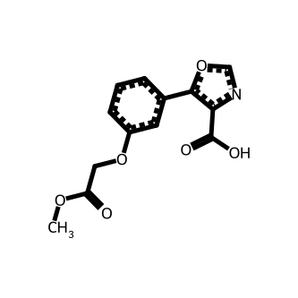 COC(=O)COc1cccc(-c2ocnc2C(=O)O)c1